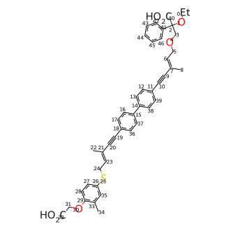 CCOC(COCC=C(C)C#Cc1ccc(-c2ccc(C#CC(C)=CCSc3ccc(OCC(=O)O)c(C)c3)cc2)cc1)(C(=O)O)c1ccccc1